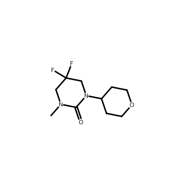 CN1CC(F)(F)CN(C2CCOCC2)C1=O